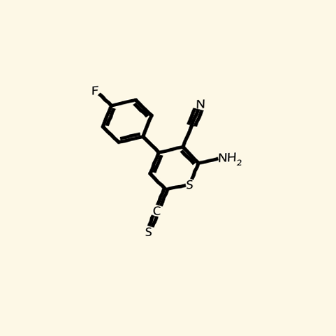 N#CC1=C(N)SC(=C=S)C=C1c1ccc(F)cc1